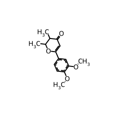 COc1ccc(C2=CC(=O)C(C)C(C)O2)cc1OC